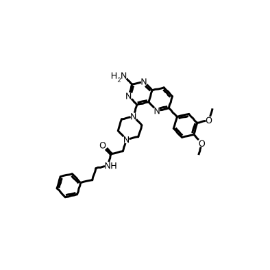 COc1ccc(-c2ccc3nc(N)nc(N4CCN(CC(=O)NCCc5ccccc5)CC4)c3n2)cc1OC